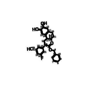 Cl.O=C(OCc1ccccc1)N(CC1NCCc2cc(O)c(O)cc21)c1cccc(F)c1